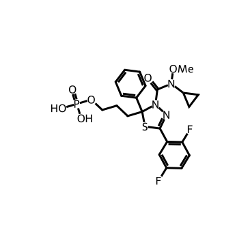 CON(C(=O)N1N=C(c2cc(F)ccc2F)SC1(CCCOP(=O)(O)O)c1ccccc1)C1CC1